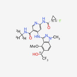 [2H]C([2H])([2H])NC(=O)c1cnc(NC(=O)[C@@H]2C[C@@H]2F)cc1Nc1nn(C)c2ccc([C@H](O)C(F)(F)F)c(OC)c12